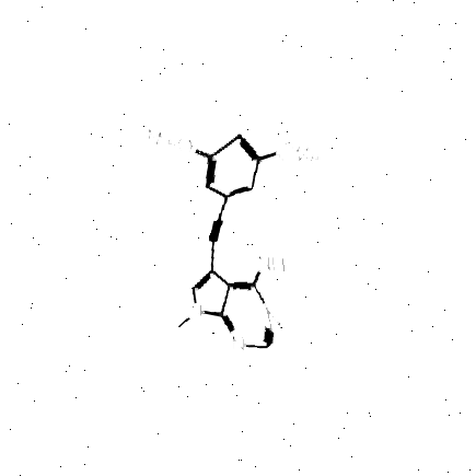 COc1cc(C#Cc2cn(C)c3ncnc(N)c23)cc(OC)c1